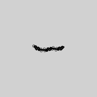 C=C1C=C2CC(C)C3C(CCC4(C)C(OC(=O)CCC(=O)OC5CCC6C7CCc8cc(OC(=O)CCC(=O)OC9CCC%10C%11C(C)CC%12=CC(=O)CCC%12(C)C%11CCC9%10C)ccc8C7CCC56C)CCC34)C2(C)CC1